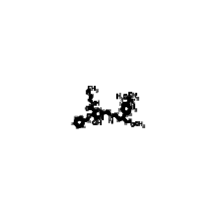 COCCNC(=O)c1nc(CNCCC(CCOC)c2ccc(C(C)(C)C)cc2)nc(O)c1OCc1ccccc1